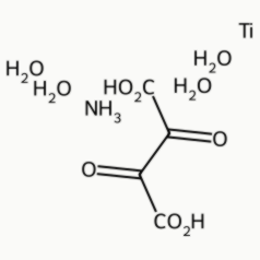 N.O.O.O.O.O=C(O)C(=O)C(=O)C(=O)O.[Ti]